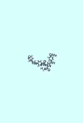 COc1ccc(Nc2nc(C(N)=O)c(NC(=O)c3ccc(NCCN4CCOCC4)cc3)s2)cc1